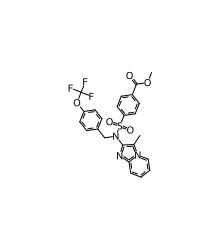 COC(=O)c1ccc(S(=O)(=O)N(Cc2ccc(OC(F)(F)F)cc2)c2nc3ccccn3c2C)cc1